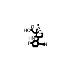 CSCC1(CC(=O)O)OCCc2c1[nH]c1c(F)ccc(C#N)c21